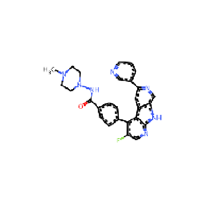 CN1CCN(NC(=O)c2ccc(-c3c(F)cnc4[nH]c5cnc(-c6cccnc6)cc5c34)cc2)CC1